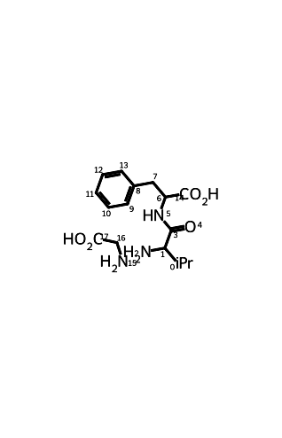 CC(C)C(N)C(=O)NC(Cc1ccccc1)C(=O)O.NCC(=O)O